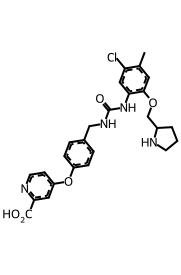 Cc1cc(OCC2CCCN2)c(NC(=O)NCc2ccc(Oc3ccnc(C(=O)O)c3)cc2)cc1Cl